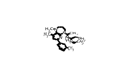 C=C(NC(=C/N)/N=C\C)N1CCCN(C)c2c(C)cc(-c3cccc(C)c3)nc21